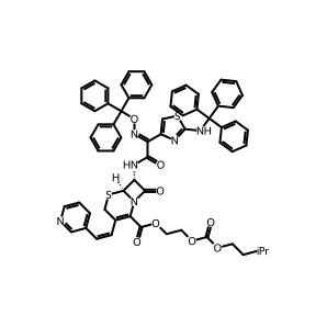 CC(C)CCOC(=O)OCCOC(=O)C1=C(/C=C\c2cccnc2)CS[C@H]2[C@H](NC(=O)C(=NOC(c3ccccc3)(c3ccccc3)c3ccccc3)c3csc(NC(c4ccccc4)(c4ccccc4)c4ccccc4)n3)C(=O)N12